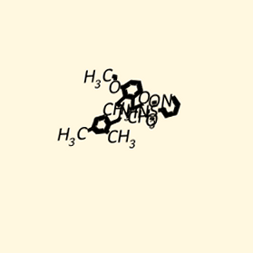 CCOc1cccc2c1CN(Cc1c(C)cc(C)cc1C)C2(C)C(=O)NS(=O)(=O)c1ccccn1